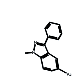 CC(=O)c1ccc2c(c1)c(-c1ccccc1)nn2C